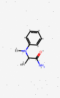 CCCC(C(N)=O)N(CC)c1ccccc1